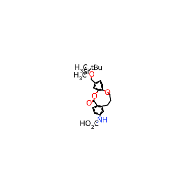 CC(C)(C)[Si](C)(C)OCc1ccc2c(c1)OC(=O)c1ccc(NC(=O)O)cc1CCCO2